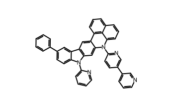 c1ccc(-c2ccc3c(c2)c2cc4c(cc2n3-c2ccccn2)N(c2ccc(-c3cccnc3)cn2)c2cccc3cccc-4c23)cc1